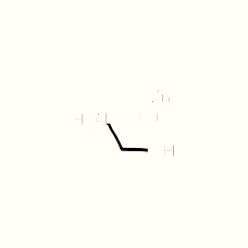 O[CH2][AlH2].[Cu].[Zn]